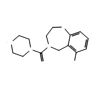 O=C(N1CCNCC1)N1CCSc2cccc(Br)c2C1